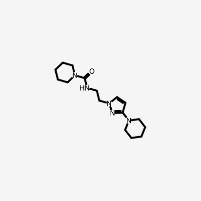 O=C(NCCn1ccc(N2CCCCC2)n1)N1CCCCC1